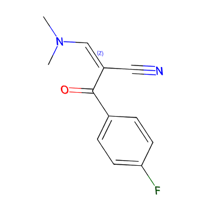 CN(C)/C=C(/C#N)C(=O)c1ccc(F)cc1